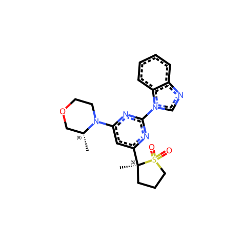 C[C@@H]1COCCN1c1cc([C@]2(C)CCCS2(=O)=O)nc(-n2cnc3ccccc32)n1